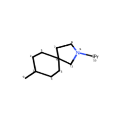 CC1CCC2(CC1)CCN(C(C)C)C2